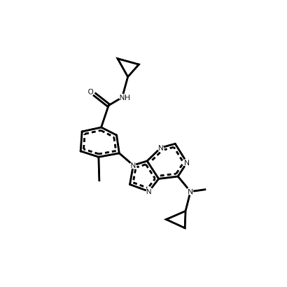 Cc1ccc(C(=O)NC2CC2)cc1-n1cnc2c(N(C)C3CC3)ncnc21